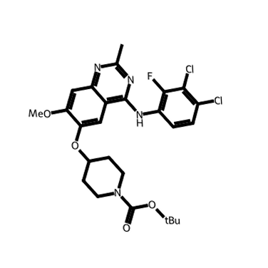 COc1cc2nc(C)nc(Nc3ccc(Cl)c(Cl)c3F)c2cc1OC1CCN(C(=O)OC(C)(C)C)CC1